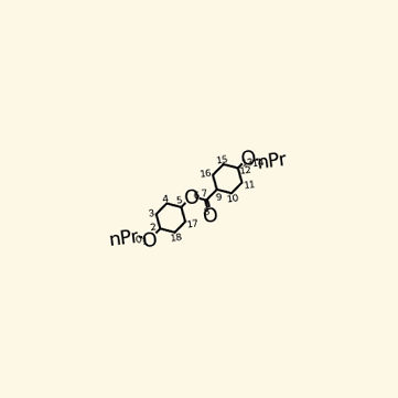 CCCOC1CCC(OC(=O)C2CCC(OCCC)CC2)CC1